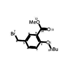 CCCCOc1ccc(CBr)cc1C(=O)OC